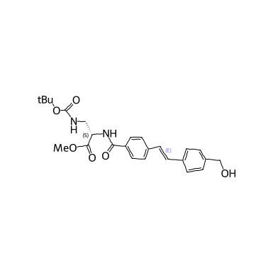 COC(=O)[C@H](CNC(=O)OC(C)(C)C)NC(=O)c1ccc(/C=C/c2ccc(CO)cc2)cc1